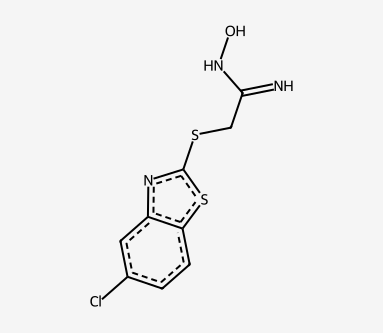 N=C(CSc1nc2cc(Cl)ccc2s1)NO